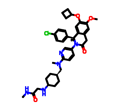 CNC(=O)CN[C@H]1CC[C@H](CN(C)c2ccc(N3C(=O)Cc4cc(OC)c(OC5CCC5)cc4[C@@H]3c3ccc(Cl)cc3)cn2)CC1